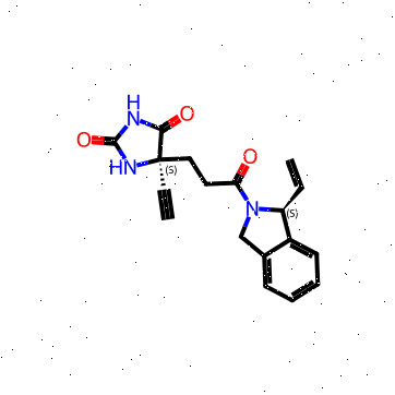 C#C[C@]1(CCC(=O)N2Cc3ccccc3[C@@H]2C=C)NC(=O)NC1=O